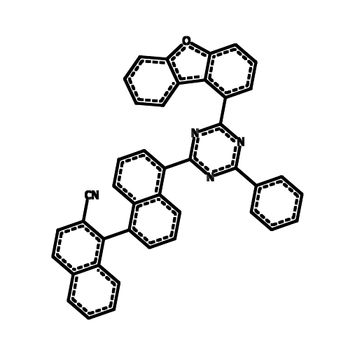 N#Cc1ccc2ccccc2c1-c1cccc2c(-c3nc(-c4ccccc4)nc(-c4cccc5oc6ccccc6c45)n3)cccc12